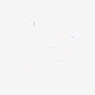 NS(=O)(=O)c1cc(Cc2ccccc2)c(O)c2ccccc12